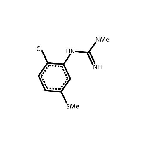 CNC(=N)Nc1cc(SC)ccc1Cl